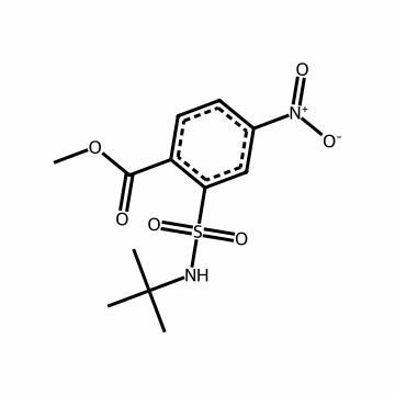 COC(=O)c1ccc([N+](=O)[O-])cc1S(=O)(=O)NC(C)(C)C